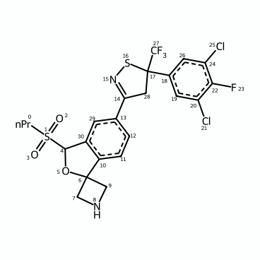 CCCS(=O)(=O)C1OC2(CNC2)c2ccc(C3=NSC(c4cc(Cl)c(F)c(Cl)c4)(C(F)(F)F)C3)cc21